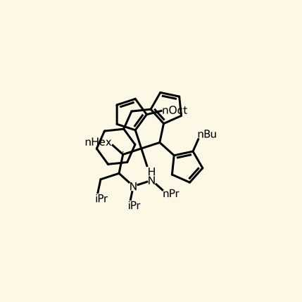 CCCCCCCCC1=C(C(C)([C](CCCCCC)C(CC(C)C)N(NCCC)C(C)C)C(C2=C(CCCC)C=CC2)C2=C(CC3CCCCC3)C=CC2)CC=C1